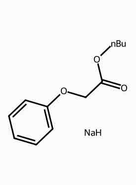 CCCCOC(=O)COc1ccccc1.[NaH]